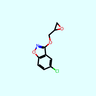 Clc1ccc2onc(OCC3CO3)c2c1